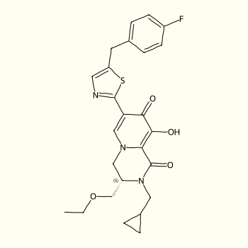 CCOC[C@@H]1Cn2cc(-c3ncc(Cc4ccc(F)cc4)s3)c(=O)c(O)c2C(=O)N1CC1CC1